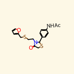 CC(=O)Nc1ccc(C2SCC(=O)N2CCSCc2ccco2)cc1